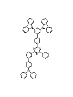 c1ccc(-c2nc(-c3ccc(-c4cc(-n5c6ccccc6c6ccccc65)cc(-n5c6ccccc6c6ccccc65)c4)cc3)nc(-c3cccc(-c4ccc(-n5c6ccccc6c6ccccc65)cc4)c3)n2)cc1